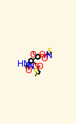 COc1cc(OC(=O)c2cscn2)ccc1-c1ccc2c(c1COC(=O)c1ccc(C)s1)N(C)C(=O)C(C)(C)N2